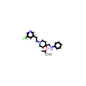 CC(C=O)OC1(CNc2ccccc2)CCN(CCc2cncc(Cl)c2)CC1